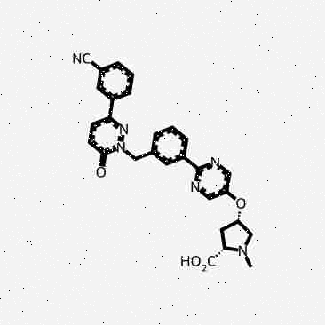 CN1C[C@@H](Oc2cnc(-c3cccc(Cn4nc(-c5cccc(C#N)c5)ccc4=O)c3)nc2)C[C@H]1C(=O)O